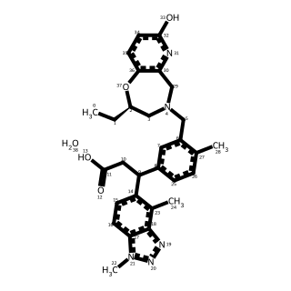 CC[C@@H]1CN(Cc2cc(C(CC(=O)O)c3ccc4c(nnn4C)c3C)ccc2C)Cc2nc(O)ccc2O1.O